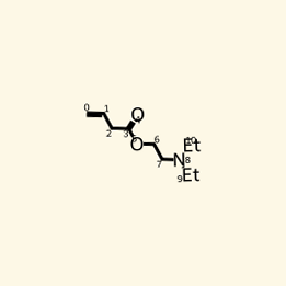 C=CCC(=O)OCCN(CC)CC